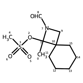 CC1(OS(C)(=O)=O)N(C=O)CC12CCCCC2